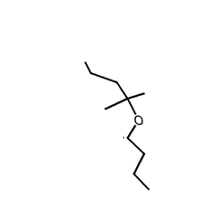 CCC[CH]OC(C)(C)CCC